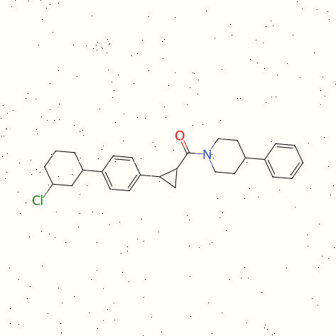 O=C(C1CC1c1ccc(C2CCCC(Cl)C2)cc1)N1CCC(c2ccccc2)CC1